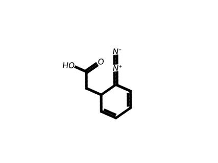 [N-]=[N+]=C1C=CC=CC1CC(=O)O